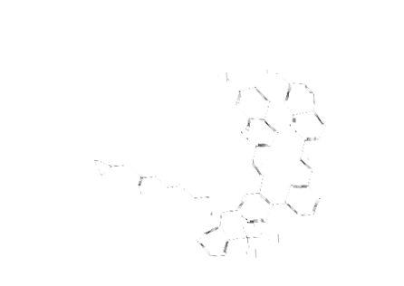 CC(C)(O)c1ccccc1[C@H](CCSCCC(=O)OC1CC1)c1ccc(-c2cccc(/C=C/c3ccc4ccc(Cl)cc4n3)c2)c(/C=C/c2ccc3ccc(Cl)cc3n2)c1